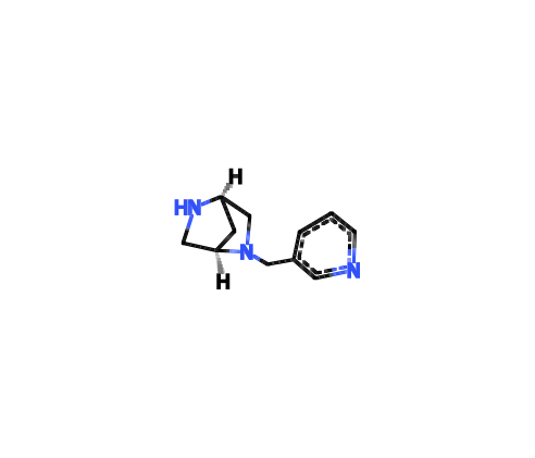 c1cncc(CN2C[C@H]3C[C@@H]2CN3)c1